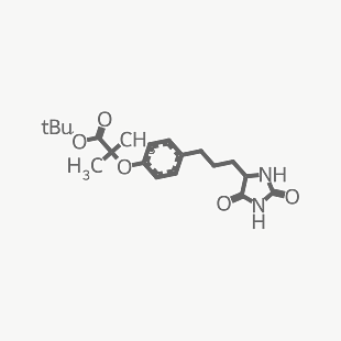 CC(C)(C)OC(=O)C(C)(C)Oc1ccc(CCCC2NC(=O)NC2=O)cc1